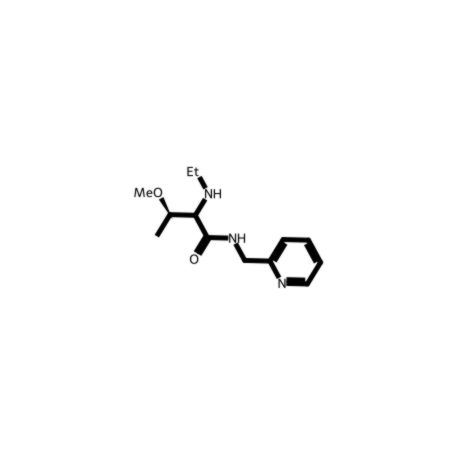 CCNC(C(=O)NCc1ccccn1)[C@@H](C)OC